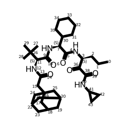 CCC[C@H](NC(=O)[C@@H](NC(=O)[C@@H](NC(=O)CC12CC3CC(CC(C3)C1)C2)C(C)(C)C)C1CCCCC1)C(=O)C(=O)NC1CC1